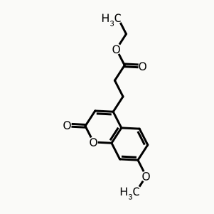 CCOC(=O)CCc1cc(=O)oc2cc(OC)ccc12